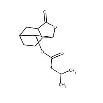 CC(C)CC(=O)OC1C2CCC3C(C2)C(=O)OC31